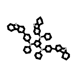 c1ccc(N(c2ccc(-c3ccc4sc5ccccc5c4c3)cc2)c2cc(N(c3ccccc3)c3ccc(-c4ccc5sc6ccccc6c5c4)cc3)cc(N(c3ccccc3)c3ccc4sc5ccccc5c4c3)c2)cc1